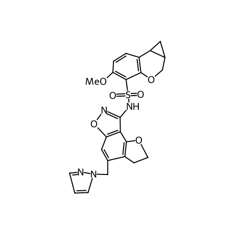 COc1ccc2c(c1S(=O)(=O)Nc1noc3cc(Cn4cccn4)c4c(c13)OCC4)OCC1CC21